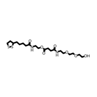 O=C(CCCCC1CCSS1)NCCOC(=O)CCC(=O)NCCOCCOCCO